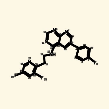 Fc1ccc(-c2cnc3ncnc(NCCc4ncc(F)cc4F)c3c2)cc1